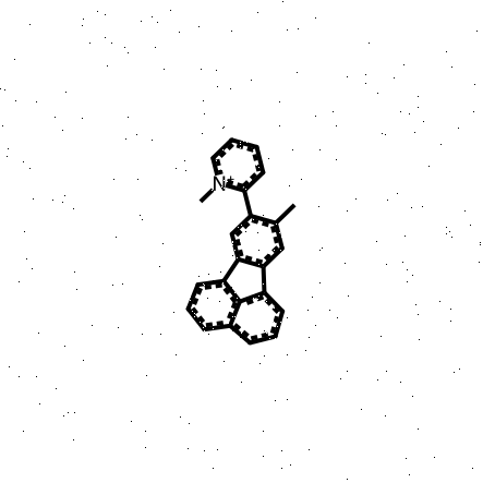 Cc1cc2c(cc1-c1cccc[n+]1C)-c1cccc3cccc-2c13